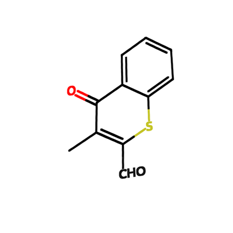 Cc1c(C=O)sc2ccccc2c1=O